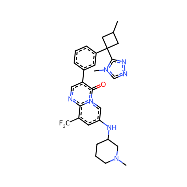 CC1CC(c2cccc(-c3cnc4c(C(F)(F)F)cc(NC5CCCN(C)C5)cn4c3=O)c2)(c2nncn2C)C1